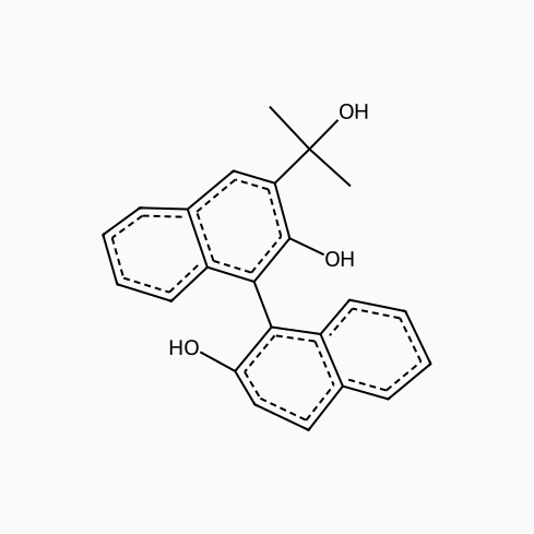 CC(C)(O)c1cc2ccccc2c(-c2c(O)ccc3ccccc23)c1O